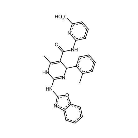 CC1=C(C(=O)Nc2cccc(C(=O)O)n2)C(c2ccccc2C)N=C(Nc2nc3ccccc3o2)N1